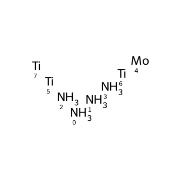 N.N.N.N.[Mo].[Ti].[Ti].[Ti]